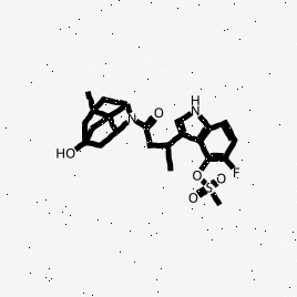 CC(CC(=O)N1C2CC3(C)CC1CC(O)(C2)C3)c1c[nH]c2ccc(F)c(OS(C)(=O)=O)c12